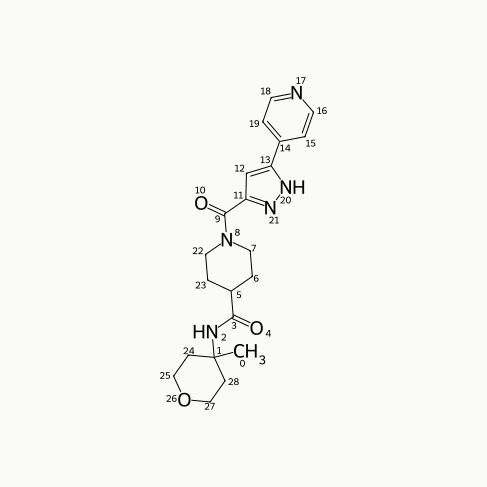 CC1(NC(=O)C2CCN(C(=O)c3cc(-c4ccncc4)[nH]n3)CC2)CCOCC1